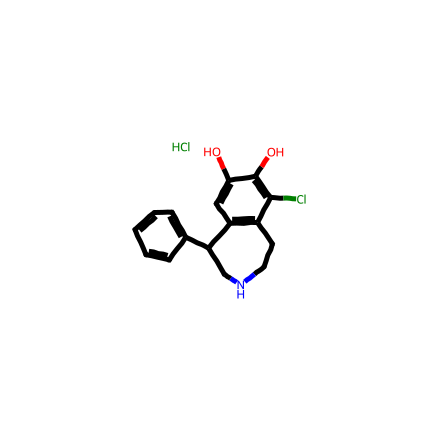 Cl.Oc1cc2c(c(Cl)c1O)CCNCC2c1ccccc1